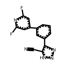 N#Cc1[nH]nnc1-c1cccc(-c2cc(F)nc(F)c2)c1